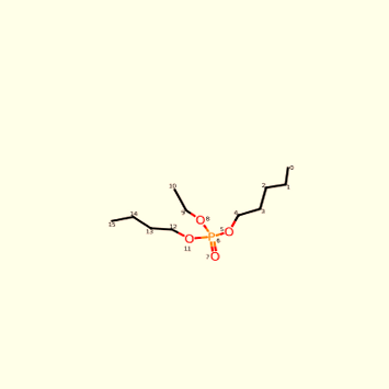 CCCCCOP(=O)(OCC)OCCCC